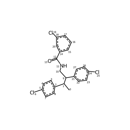 CC(c1ccc(Cl)cc1)C(CNC(=O)c1cccc(Cl)c1)c1ccc(Cl)cc1